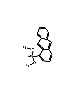 CCO[Si](C)(OCC)c1cccc2cc3ccccc3cc12